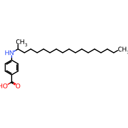 CCCCCCCCCCCCCCCCC(C)Nc1ccc(C(=O)O)cc1